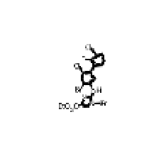 CCOC(=O)c1cn(C(C)C)c(Nc2cc(-c3cccc(Cl)c3F)c(Cl)cc2Br)n1